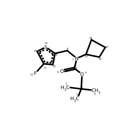 CC(C)(C)OC(=O)N(Cc1cc(F)cs1)C1CCC1